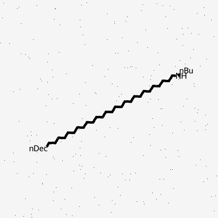 [CH2]CCCNCCCCCCCCCCCCCCCCCCCCCCCCCCCCCCCCCCCCC